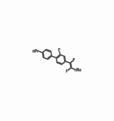 CCCCC(F)=C(F)c1ccc(-c2ccc(CCC)cc2)c(F)c1